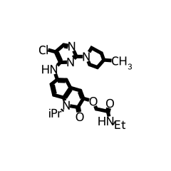 CCNC(=O)COc1cc2cc(Nc3nc(N4CCC(C)CC4)ncc3Cl)ccc2n(C(C)C)c1=O